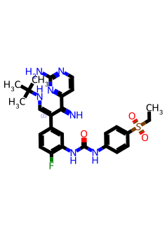 CCS(=O)(=O)c1ccc(NC(=O)Nc2cc(/C(=C/NC(C)(C)C)C(=N)c3ccnc(N)n3)ccc2F)cc1